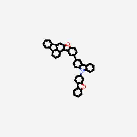 c1ccc2c(c1)-c1cccc3c1c-2cc1oc2ccc(-c4ccc5c(c4)c4ccccc4n5-c4ccc5c(c4)oc4ccccc45)cc2c13